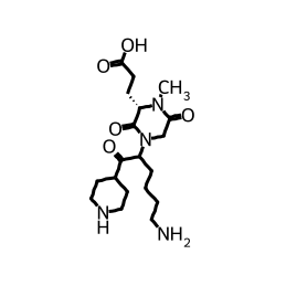 CN1C(=O)CN(C(CCCCN)C(=O)C2CCNCC2)C(=O)[C@@H]1CCC(=O)O